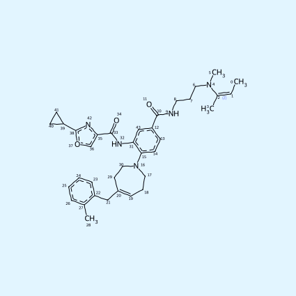 C/C=C(/C)N(C)CCCNC(=O)c1ccc(N2CCC=C(Cc3ccccc3C)CC2)c(NC(=O)c2coc(C3CC3)n2)c1